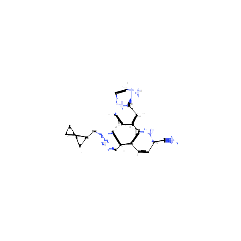 N#Cc1ccc(-c2cnn(CC3CC34CC4)c2)c(-c2ccn3ccnc3c2)n1